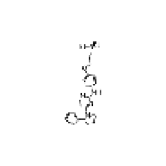 CCN(CC)CCCOc1ccc(Nc2nccc(N3OCCC3c3ccccc3)n2)cc1